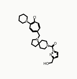 O=C(N1CCC2(CCCN2CC2=C=CC(N3CCCCC3)=C(Cl)C=C2)CC1)n1ccc(CO)n1